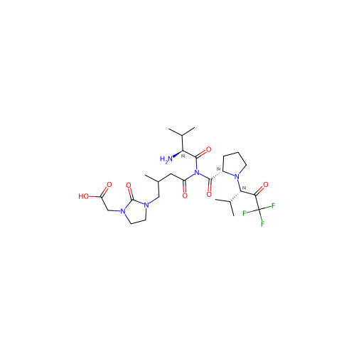 CC(CC(=O)N(C(=O)[C@@H](N)C(C)C)C(=O)[C@@H]1CCCN1[C@H](C(=O)C(F)(F)F)C(C)C)CN1CCN(CC(=O)O)C1=O